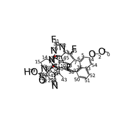 COCOc1cc(-c2c(F)cc3c(N4CCN(C(=O)O)[C@@](CC#N)(C(C)(C)C)C4)nc(F)nc3c2F)c2c(C#C[Si](C(C)C)(C(C)C)C(C)C)cccc2c1